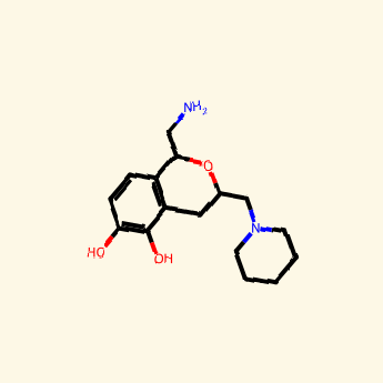 NCC1OC(CN2CCCCC2)Cc2c1ccc(O)c2O